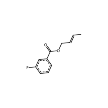 CC=CCOC(=O)c1cccc(F)c1